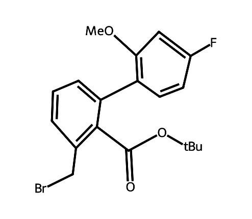 COc1cc(F)ccc1-c1cccc(CBr)c1C(=O)OC(C)(C)C